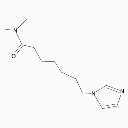 CN(C)C(=O)CCCCCCn1c[c]nc1